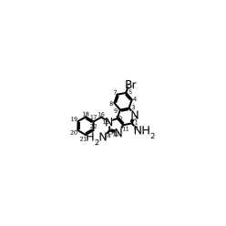 Nc1nc2cc(Br)ccc2c2c1nc(N)n2Cc1ccccc1